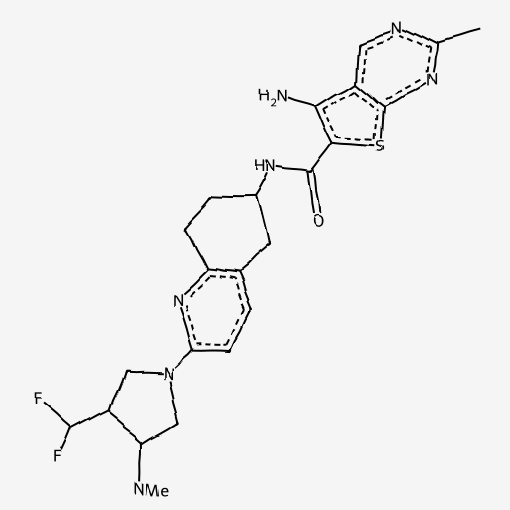 CNC1CN(c2ccc3c(n2)CCC(NC(=O)c2sc4nc(C)ncc4c2N)C3)CC1C(F)F